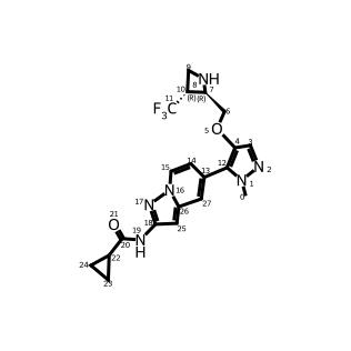 Cn1ncc(OC[C@@H]2NC[C@H]2C(F)(F)F)c1-c1ccn2nc(NC(=O)C3CC3)cc2c1